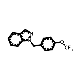 FC(F)(F)Oc1ccc(Cn2ncc3ccccc32)cc1